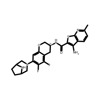 Cc1ccc2c(N)c(C(=O)N[C@@H]3COc4cc(N5CC6CCC(C5)N6)c(F)c(F)c4C3)sc2n1